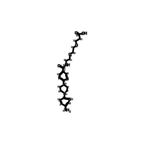 Nc1cnc(N2CCN(c3ncc(C(=O)NCCOCCOCCC(=O)O)cn3)CC2)nc1